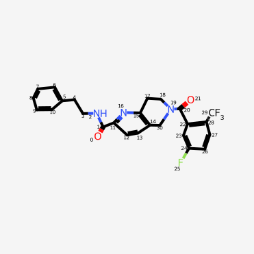 O=C(NCCc1ccccc1)c1ccc2c(n1)CCN(C(=O)c1cc(F)ccc1C(F)(F)F)C2